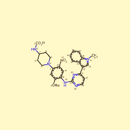 COc1cc(N2CCC(NC(=O)O)CC2)c([N+](=O)[O-])cc1Nc1nccc(-c2cn(C)c3ccccc23)n1